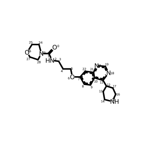 O=C(NCCCOc1ccc2c(C3CCNCC3)ncnc2c1)N1CCOCC1